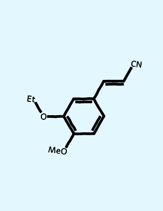 CCOc1cc(C=CC#N)ccc1OC